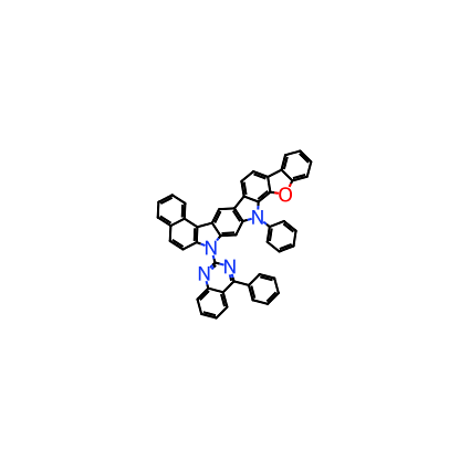 c1ccc(-c2nc(-n3c4cc5c(cc4c4c6ccccc6ccc43)c3ccc4c6ccccc6oc4c3n5-c3ccccc3)nc3ccccc23)cc1